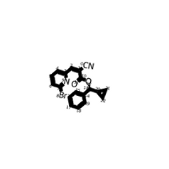 N#CC(=Cc1cccc(Br)n1)C(=O)O[C@H](c1ccccc1)C1CC1